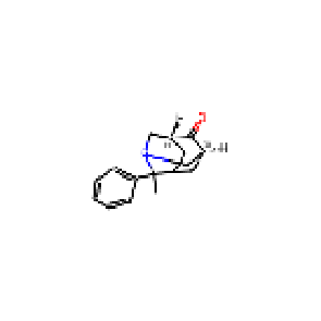 CC1(c2ccccc2)C2C[C@@H]3CN1C[C@H](C2)C3=O